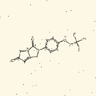 O=C1C=C2CN(c3ccc(OCC(F)(F)F)cc3)C(=O)N2C1